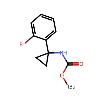 CC(C)(C)OC(=O)NC1(c2ccccc2Br)CC1